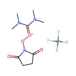 CN(C)C(=[O+]ON1C(=O)CCC1=O)N(C)C.F[B-](F)(F)F